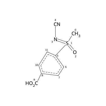 CS(=O)(=NC#N)c1ccc(C(=O)O)cc1